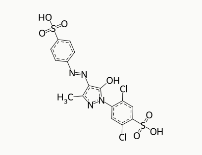 Cc1nn(-c2cc(Cl)c(S(=O)(=O)O)cc2Cl)c(O)c1/N=N/c1ccc(S(=O)(=O)O)cc1